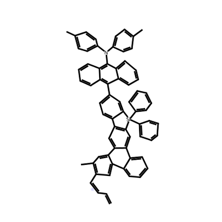 C=C/C=C\c1cc2c3ccccc3c3cc4c(cc3c2cc1C)-c1ccc(-c2c3ccccc3c(N(c3ccc(C)cc3)c3ccc(C)cc3)c3ccccc23)cc1[Si]4(c1ccccc1)c1ccccc1